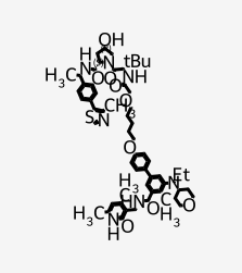 CCN(c1cc(-c2ccc(OCCCCCOCC(=O)NC(C(=O)N3C[C@H](O)C[C@H]3C(=O)NC(C)c3ccc(-c4scnc4C)cc3)C(C)(C)C)cc2)cc(C(=O)NCc2c(C)cc(C)[nH]c2=O)c1C)C1CCOCC1